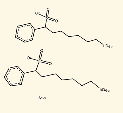 CCCCCCCCCCCCCCCCC(c1ccccc1)S(=O)(=O)[O-].CCCCCCCCCCCCCCCCC(c1ccccc1)S(=O)(=O)[O-].[Ni+2]